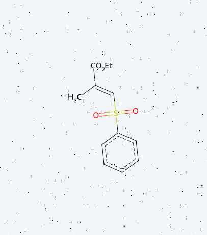 CCOC(=O)C(C)=CS(=O)(=O)c1ccccc1